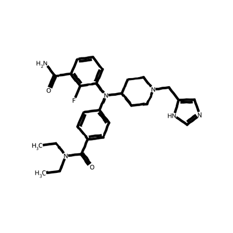 CCN(CC)C(=O)c1ccc(N(c2cccc(C(N)=O)c2F)C2CCN(Cc3cnc[nH]3)CC2)cc1